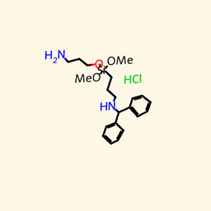 CO[Si](CCCNC(c1ccccc1)c1ccccc1)(OC)OCCCN.Cl